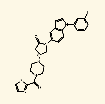 O=C(c1nccs1)N1CCN([C@@H]2CC(=O)N(c3ccc4c(ccn4-c4ccnc(F)c4)c3)C2)CC1